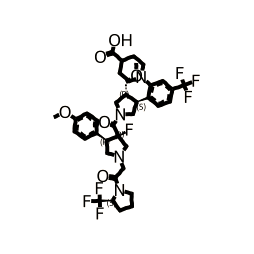 COC[C@H]1CN(C(=O)[C@]2(F)CN(CC(=O)N3CCC[C@H]3C(F)(F)F)C[C@H]2c2ccc(OC)cc2)C[C@@H]1c1ccc(C(F)(F)F)cc1N1CCC(C(=O)O)CC1